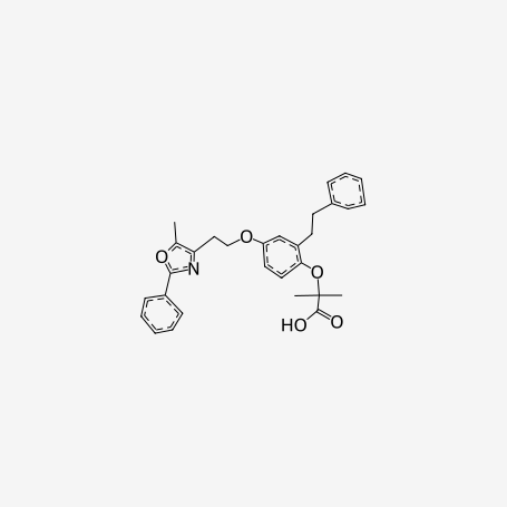 Cc1oc(-c2ccccc2)nc1CCOc1ccc(OC(C)(C)C(=O)O)c(CCc2ccccc2)c1